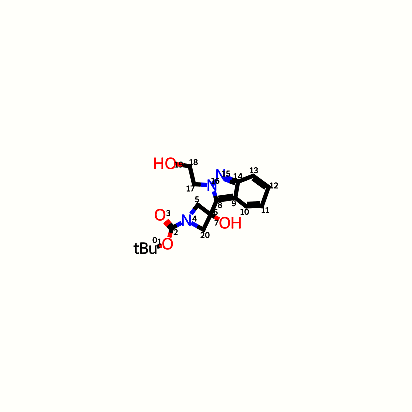 CC(C)(C)OC(=O)N1CC(O)(c2c3ccccc3nn2CCO)C1